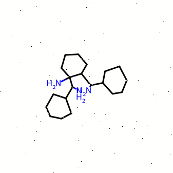 NC(C1CCCCC1)C1CCCCC1(N)C(N)C1CCCCC1